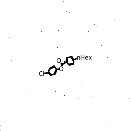 CCCCCCc1ccc(C(=O)Oc2ccc(Cl)cc2)cc1